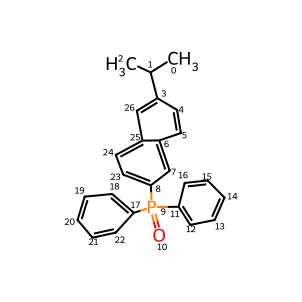 CC(C)c1ccc2cc(P(=O)(c3ccccc3)c3ccccc3)ccc2c1